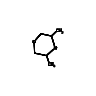 CC1COCC(C)[N]1